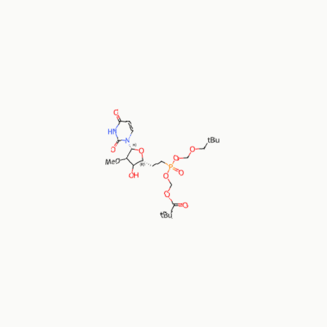 COC1C(O)[C@@H](CCP(=O)(OCOCC(C)(C)C)OCOC(=O)C(C)(C)C)O[C@H]1n1ccc(=O)[nH]c1=O